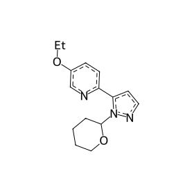 CCOc1ccc(-c2ccnn2C2CCCCO2)nc1